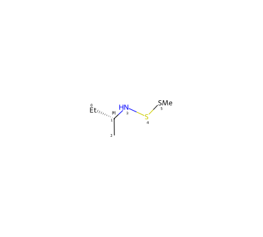 CC[C@@H](C)NSSC